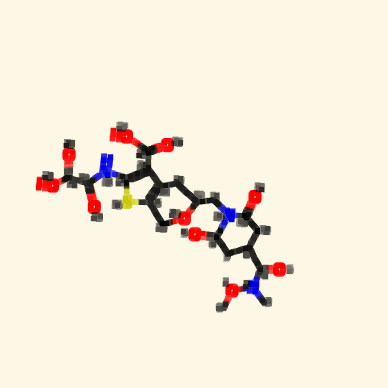 CON(C)C(=O)C1CC(=O)N(CC2Cc3c(sc(NC(=O)C(=O)O)c3C(=O)O)CO2)C(=O)C1